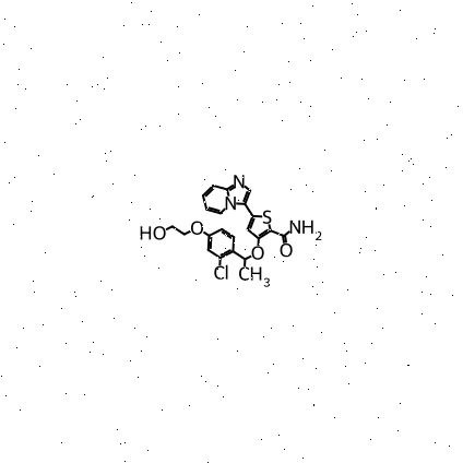 CC(Oc1cc(-c2cnc3ccccn23)sc1C(N)=O)c1ccc(OCCO)cc1Cl